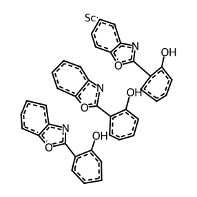 Oc1ccccc1-c1nc2ccccc2o1.Oc1ccccc1-c1nc2ccccc2o1.Oc1ccccc1-c1nc2ccccc2o1.[Sc]